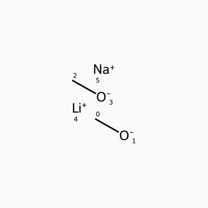 C[O-].C[O-].[Li+].[Na+]